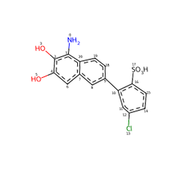 Nc1c(O)c(O)cc2cc(-c3cc(Cl)ccc3S(=O)(=O)O)ccc12